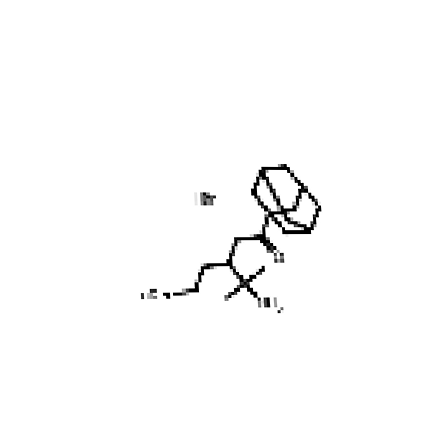 Br.CCCCCCCCCCCCC(CC(=O)C12CC3CC(CC(C3)C1)C2)C(C)(C)N